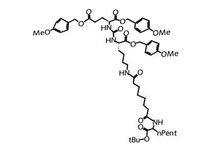 CCCCCC(NC(=O)CCCCCCC(=O)NCCCC[C@H](NC(=O)N[C@@H](CCC(=O)OCc1ccc(OC)cc1)C(=O)OCc1ccc(OC)cc1)C(=O)OCc1ccc(OC)cc1)C(=O)OC(C)(C)C